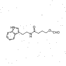 O=COCCCC(=O)NCCc1c[nH]c2ccccc12